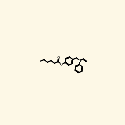 C=CN(Cc1ccc(OC(=O)CCCCC)cc1)c1ccccc1